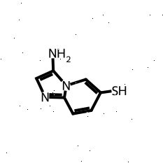 Nc1cnc2ccc(S)cn12